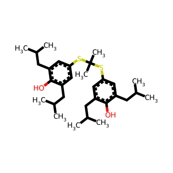 CC(C)Cc1cc(SC(C)(C)Sc2cc(CC(C)C)c(O)c(CC(C)C)c2)cc(CC(C)C)c1O